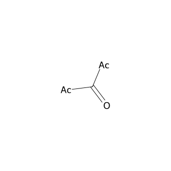 CC(=O)C(=O)C(C)=O